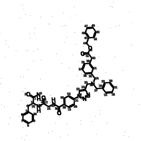 NC(=O)[C@H](Cc1ccccc1)NC(=O)CNC(=O)c1ccc(-n2cc(CN(Cc3ccccc3)Cc3cccc(CC(=O)OCc4ccccc4)c3)nn2)cc1